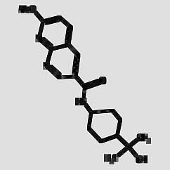 COc1ccc2cc(C(=O)NC3CCC(C(C)(C)O)CC3)cnc2n1